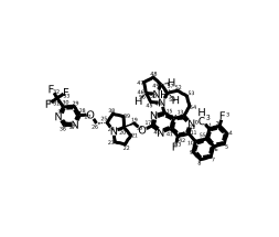 Cc1c(F)ccc2cccc(-c3nc4c5c(nc(OC[C@@]67CCCN6[C@H](COc6cc(C(F)(F)F)ncn6)CC7)nc5c3F)N3C[C@H]5CC[C@H](N5)[C@H]3CCC4)c12